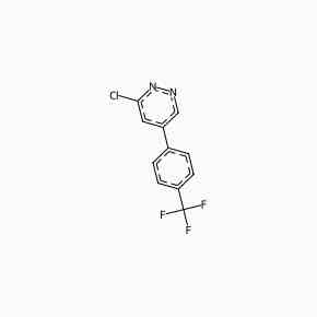 FC(F)(F)c1ccc(-c2cnnc(Cl)c2)cc1